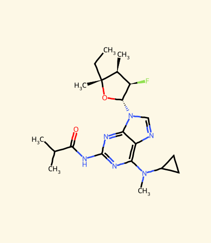 CC[C@@]1(C)O[C@@H](n2cnc3c(N(C)C4CC4)nc(NC(=O)C(C)C)nc32)[C@H](F)[C@@H]1C